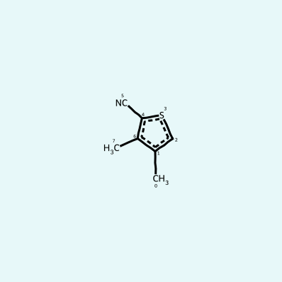 Cc1csc(C#N)c1C